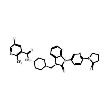 O=C(N[C@H]1CC[C@H](Cn2c(=O)n(-c3ccc(N4CCCC4=O)nc3)c3ccccc32)CC1)c1cc(Cl)cnc1C(F)(F)F